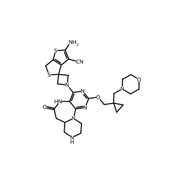 N#Cc1c(N)sc2c1C1(CN(c3nc(OCC4(CN5CCOCC5)CC4)nc4c3NC(=O)CC3CNCCN43)C1)SC2